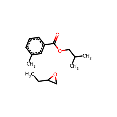 CCC1CO1.Cc1cccc(C(=O)OCC(C)C)c1